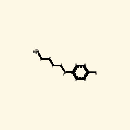 Cc1ccc(SCCCCN)cc1